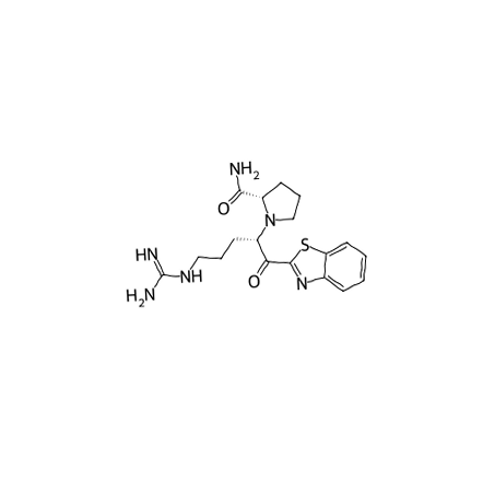 N=C(N)NCCC[C@@H](C(=O)c1nc2ccccc2s1)N1CCC[C@H]1C(N)=O